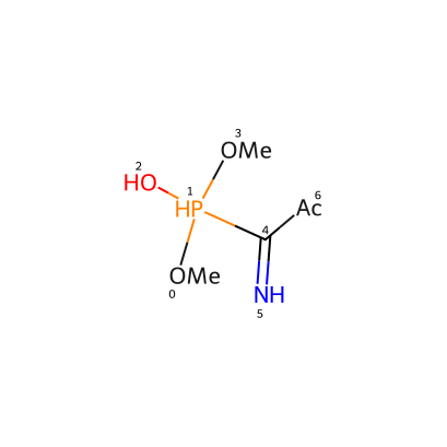 CO[PH](O)(OC)C(=N)C(C)=O